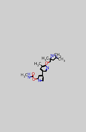 CNC(=O)Oc1cc(-c2cnc(OC[C@@](C)(N)CC(C)C)c(C)c2)ccn1